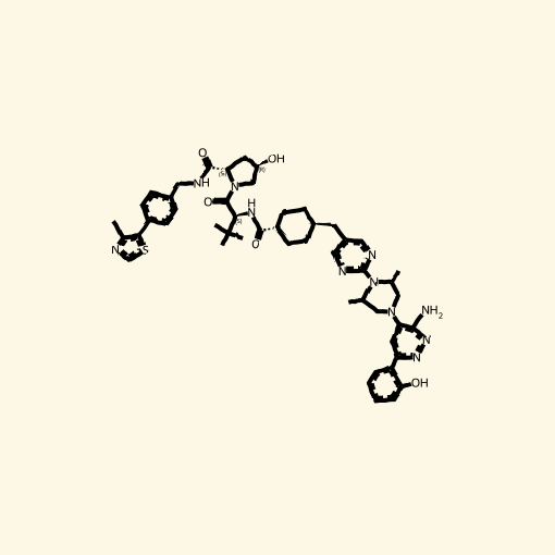 Cc1ncsc1-c1ccc(CNC(=O)[C@@H]2C[C@@H](O)CN2C(=O)[C@@H](NC(=O)[C@H]2CC[C@H](Cc3cnc(N4C(C)CN(c5cc(-c6ccccc6O)nnc5N)CC4C)nc3)CC2)C(C)(C)C)cc1